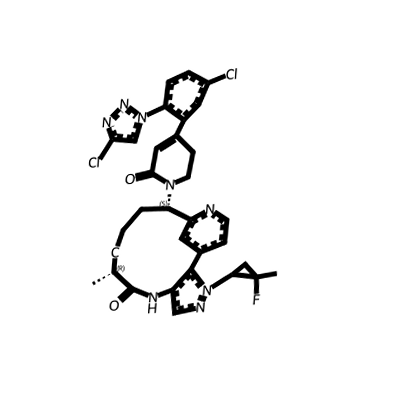 C[C@@H]1CCC[C@H](N2CCC(c3cc(Cl)ccc3-n3cc(Cl)nn3)=CC2=O)c2cc(ccn2)-c2c(cnn2C2CC2(C)F)NC1=O